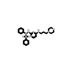 O=S(=O)(c1ccccc1)N(Nc1nccc(NCCCN2CCOCC2)n1)c1ccccc1